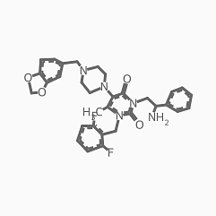 Cc1c(N2CCN(Cc3ccc4c(c3)OCO4)CC2)c(=O)n(CC(N)c2ccccc2)c(=O)n1Cc1c(F)cccc1F